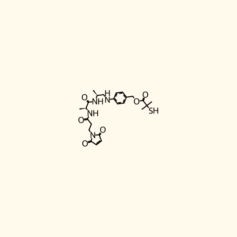 C[C@H](NC(=O)CCN1C(=O)C=CC1=O)C(=O)N[C@@H](C)CNc1ccc(COC(=O)C(C)(C)S)cc1